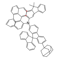 CC1(C)c2ccccc2-c2cc(N(c3ccc4c(c3)C3(c5ccccc5-c5ccccc53)c3cc(C56CC7CC(CC(C7)C5)C6)ccc3-4)c3ccccc3-c3cccc4cccc(-c5ccccc5)c34)ccc21